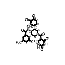 CN(C(=O)c1cc(C(F)(F)F)cc(C(F)(F)F)c1)[C@@H]1CCN(C(=O)c2c[nH]c(=O)[nH]c2=O)C[C@H]1c1ccc(Cl)c(Cl)c1